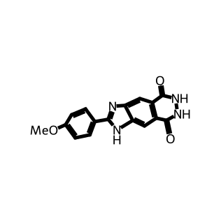 COc1ccc(-c2nc3cc4c(=O)[nH][nH]c(=O)c4cc3[nH]2)cc1